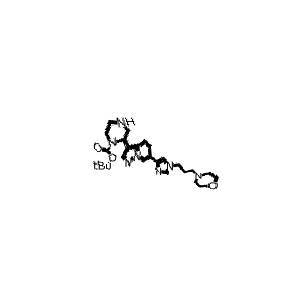 CC(C)(C)OC(=O)N1CCNCC1c1cnn2cc(-c3cn(CCCN4CCOCC4)cn3)ccc12